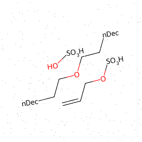 C=CCOS(=O)(=O)O.CCCCCCCCCCCCOCCCCCCCCCCCC.O=S(=O)(O)O